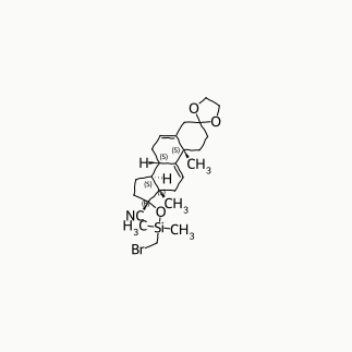 C[C@]12CCC3(CC1=CC[C@@H]1C2=CC[C@@]2(C)[C@H]1CC[C@@]2(C#N)O[Si](C)(C)CBr)OCCO3